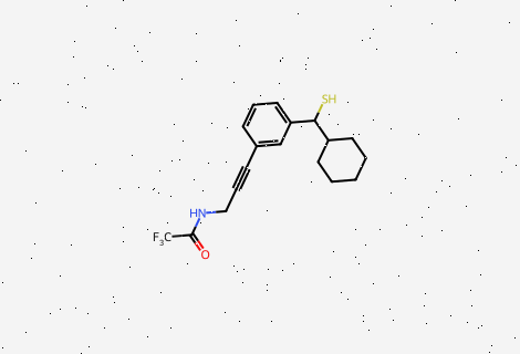 O=C(NCC#Cc1cccc(C(S)C2CCCCC2)c1)C(F)(F)F